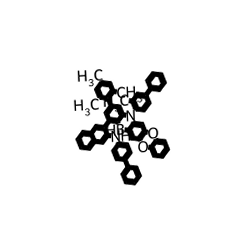 Cc1cc(C)c(-c2cc(-c3cc4ccccc4cc3Nc3ccc(-c4ccccc4)cc3)c3c(c2)N(c2ccc(-c4ccccc4)cc2C)c2cc4c(cc2B3)Oc2ccccc2O4)c(C)c1